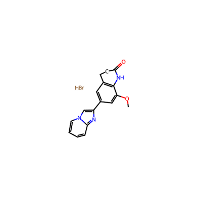 Br.COc1cc(-c2cn3ccccc3n2)cc2c1NC(=O)CC2